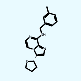 Cc1cccc(CNc2nccn3c([C@@H]4CCCS4)cnc23)c1